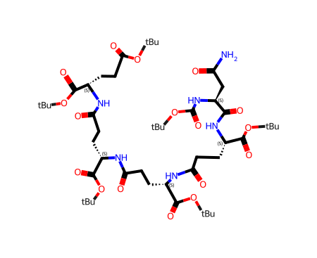 CC(C)(C)OC(=O)CC[C@H](NC(=O)CC[C@H](NC(=O)CC[C@H](NC(=O)CC[C@H](NC(=O)[C@H](CC(N)=O)NC(=O)OC(C)(C)C)C(=O)OC(C)(C)C)C(=O)OC(C)(C)C)C(=O)OC(C)(C)C)C(=O)OC(C)(C)C